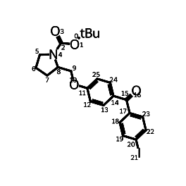 CC(C)(C)OC(=O)N1CCCC1COc1ccc(C(=O)c2ccc(I)cc2)cc1